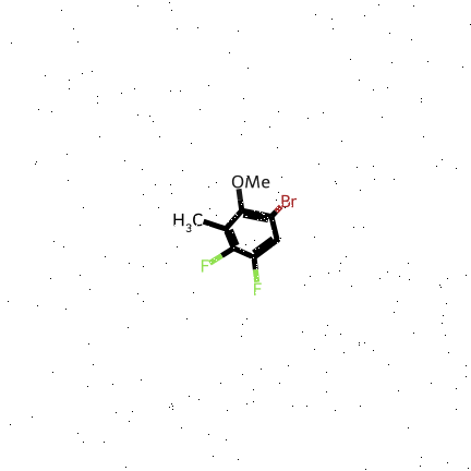 COc1c(Br)cc(F)c(F)c1C